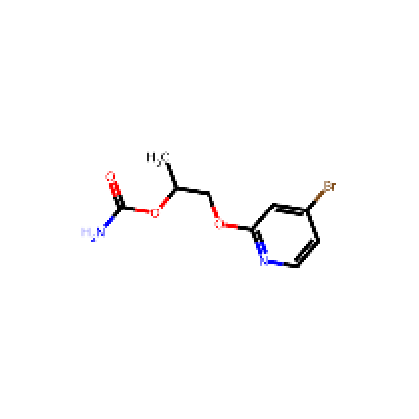 CC(COc1cc(Br)ccn1)OC(N)=O